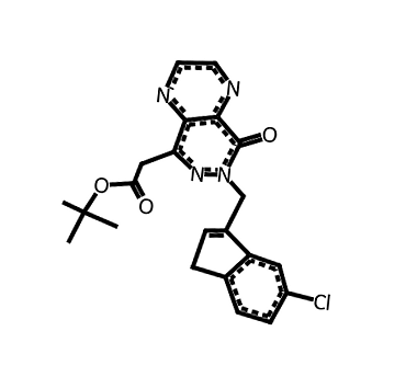 CC(C)(C)OC(=O)Cc1nn(CC2=CCc3ccc(Cl)cc32)c(=O)c2nccnc12